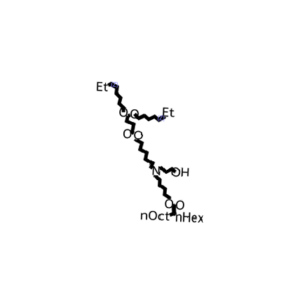 CC/C=C\CCCCOC(CCC(=O)OCCCCCCCN(CCCO)CCCCCCOC(=O)C(CCCCCC)CCCCCCCC)OCCCC/C=C\CC